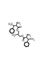 BC(C(=O)OCC(C)COC(=O)C(B)C(C)c1ccccc1)C(C)c1ccccc1